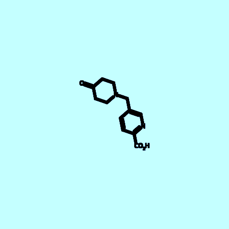 O=C1CCN(Cc2ccc(C(=O)O)nc2)CC1